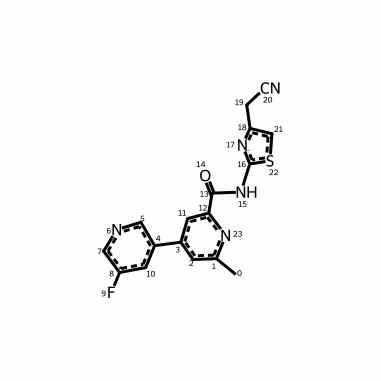 Cc1cc(-c2cncc(F)c2)cc(C(=O)Nc2nc(CC#N)cs2)n1